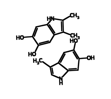 Cc1[nH]c2cc(O)c(O)cc2c1C.Cc1c[nH]c2cc(O)c(O)cc12